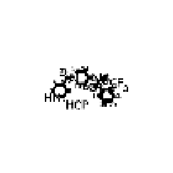 Cl.O=C(C1CCNCC1)N1CCC(NS(=O)(=O)c2ccccc2C(F)(F)F)CC1